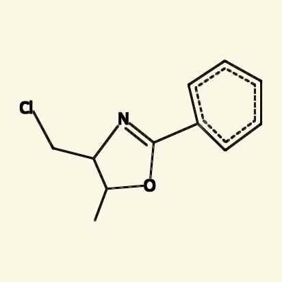 CC1OC(c2ccccc2)=NC1CCl